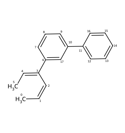 C/C=C\C(=C/C)c1cccc(-c2ccccc2)c1